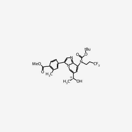 COC(=O)c1ccc(-c2cnc3c(N(CCC(F)(F)F)C(=O)OC(C)(C)C)cc([C@H](C)O)cn23)cc1C